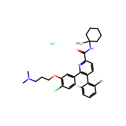 CCc1cccc(F)c1-c1ccc(C(=O)NC2(C(=O)O)CCCCC2)nc1-c1ccc(Cl)c(OCCCN(C)C)c1.Cl